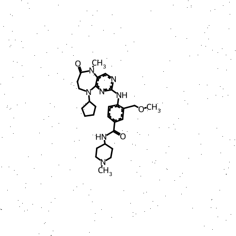 COCc1cc(C(=O)NC2CCN(C)CC2)ccc1Nc1ncc2c(n1)N(C1CCCC1)CCC(=O)N2C